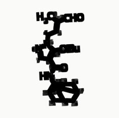 C/C(C=O)=C\Cn1ncc(C(=O)NC2C3CC4CC(C3)CC2C4)c1OCC(C)C